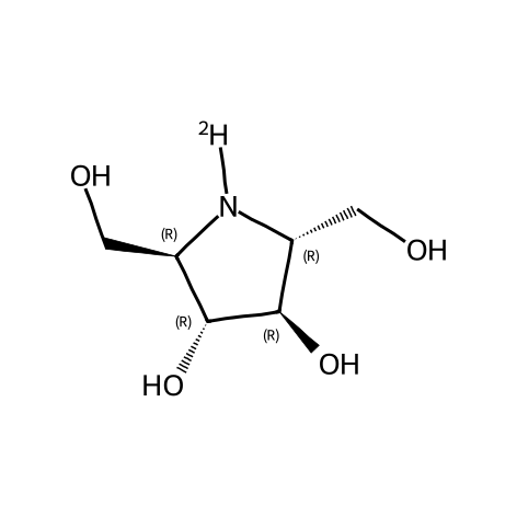 [2H]N1[C@H](CO)[C@@H](O)[C@H](O)[C@H]1CO